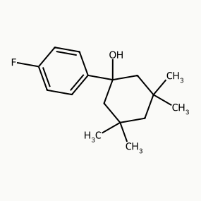 CC1(C)CC(C)(C)CC(O)(c2ccc(F)cc2)C1